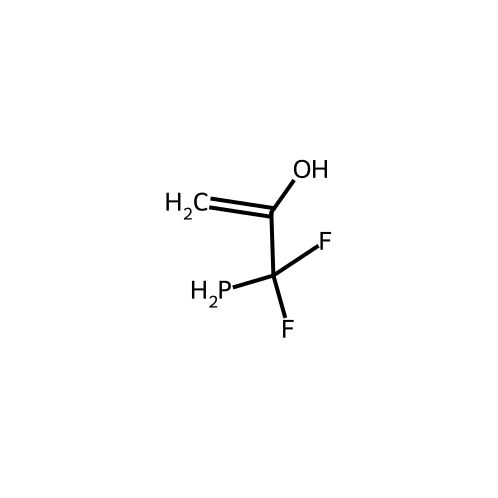 C=C(O)C(F)(F)P